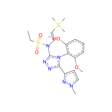 CCS(=O)(=O)N(/C=C/S(C)(C)C)c1nnc(-c2ccn(C)n2)n1-c1c(O)cccc1OC